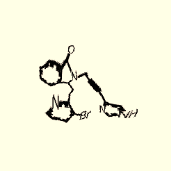 O=C1c2ccccc2C(Cc2ncccc2Br)N1CC#Cc1c[nH]cn1